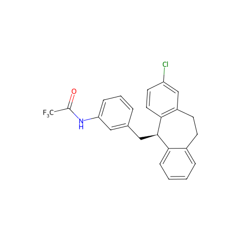 O=C(Nc1cccc(C[C@@H]2c3ccccc3CCc3cc(Cl)ccc32)c1)C(F)(F)F